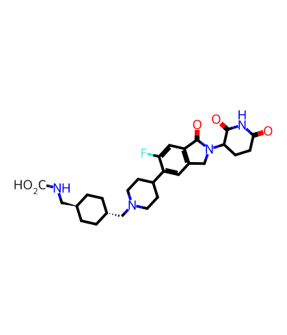 O=C(O)NC[C@H]1CC[C@H](CN2CCC(c3cc4c(cc3F)C(=O)N(C3CCC(=O)NC3=O)C4)CC2)CC1